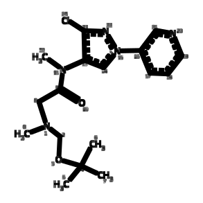 CN(COC(C)(C)C)CC(=O)N(C)c1cn(-c2cccnc2)nc1Cl